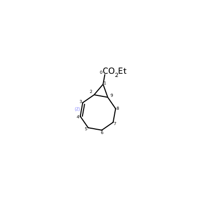 CCOC(=O)C1C2/C=C\CCCCC21